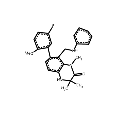 COc1ccc(F)cc1-c1ccc2c(c1CNc1ccccc1)N(C)C(=O)C(C)(C)N2